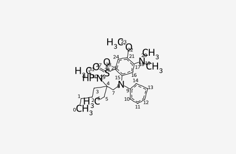 CCCCC1(CC)CN(c2ccccc2)c2cc(N(C)C)c(OC)cc2S(=O)(=O)N1PC